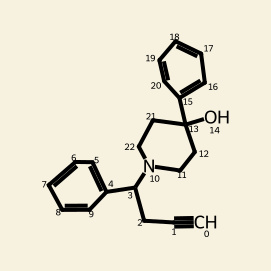 C#CCC(c1ccccc1)N1CCC(O)(c2ccccc2)CC1